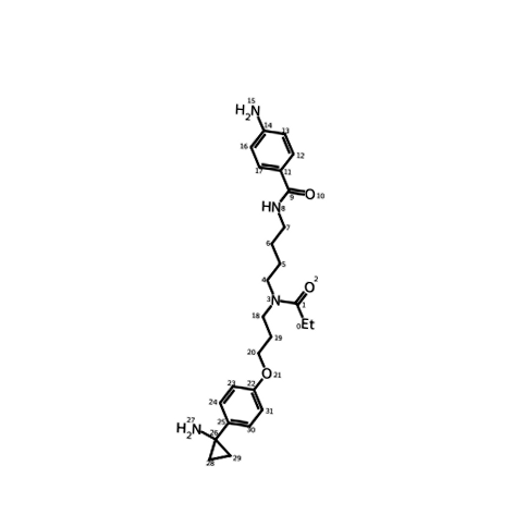 CCC(=O)N(CCCCNC(=O)c1ccc(N)cc1)CCCOc1ccc(C2(N)CC2)cc1